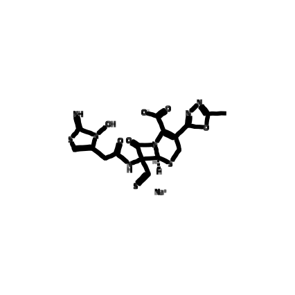 Cc1nnc(C2=C(C(=O)[O-])N3C(=O)C(C=S)(NC(=O)Cc4csc(=N)n4O)[C@@H]3SC2)o1.[Na+]